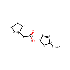 CC(=O)OC1C=CC(OC(=O)CC2=CCCC2)C1